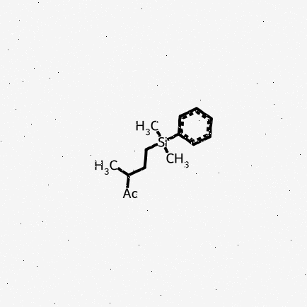 CC(=O)C(C)CC[Si](C)(C)c1ccccc1